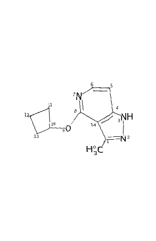 Cc1n[nH]c2ccnc(OC3CCC3)c12